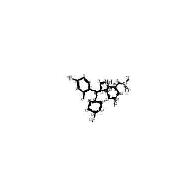 CC1C=C(F)C=CC1C(c1ccc(F)cc1)c1c[nH]c2c(C[S+](C)[O-])cc(F)cc12